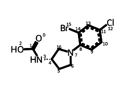 O=C(O)N[C@H]1CCN(c2ccc(Cl)cc2Br)C1